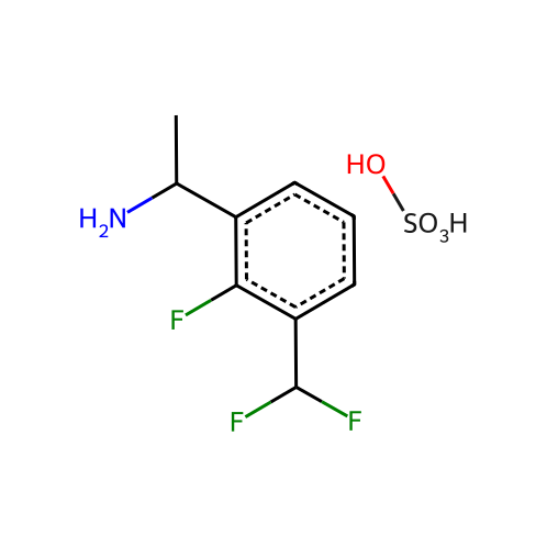 CC(N)c1cccc(C(F)F)c1F.O=S(=O)(O)O